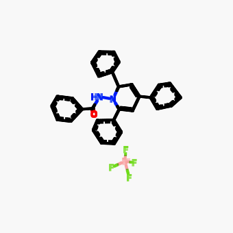 F[B-](F)(F)F.O=C(NN1C(c2ccccc2)=CC(c2ccccc2)=CC1c1ccccc1)c1ccccc1